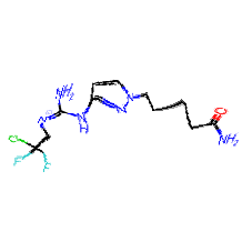 NC(=O)CCCCn1ccc(N/C(N)=N\CC(F)(F)Cl)n1